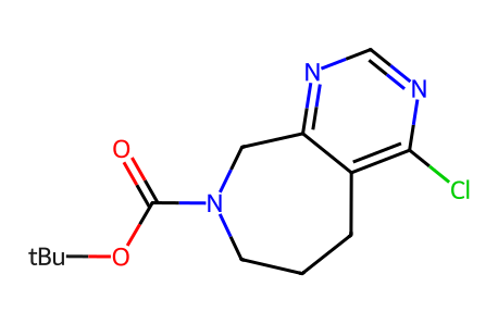 CC(C)(C)OC(=O)N1CCCc2c(Cl)ncnc2C1